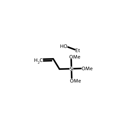 C=CC[Si](OC)(OC)OC.CCO